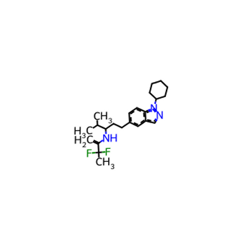 C=C(NC(CCc1ccc2c(cnn2C2CCCCC2)c1)C(C)C)C(C)(F)F